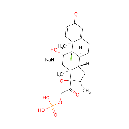 C[C@H]1C[C@H]2[C@@H]3CCC4=CC(=O)C=C[C@]4(C)[C@@]3(F)[C@@H](O)C[C@]2(C)[C@@]1(O)C(=O)COP(=O)(O)O.[NaH]